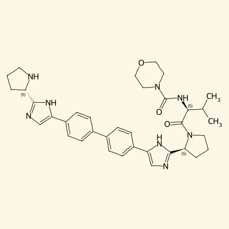 CC(C)[C@H](NC(=O)N1CCOCC1)C(=O)N1CCC[C@H]1c1ncc(-c2ccc(-c3ccc(-c4cnc([C@@H]5CCCN5)[nH]4)cc3)cc2)[nH]1